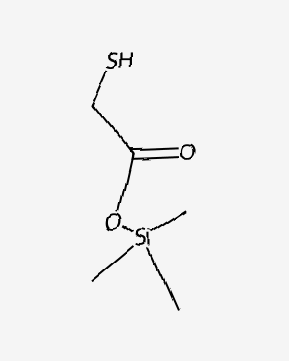 C[Si](C)(C)OC(=O)CS